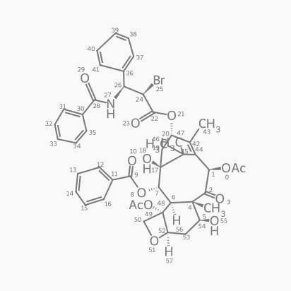 CC(=O)O[C@H]1C(=O)[C@@]2(C)[C@H]([C@H](OC(=O)c3ccccc3)[C@]3(O)C[C@H](OC(=O)[C@H](Br)[C@@H](NC(=O)c4ccccc4)c4ccccc4)C(C)=C1C3(C)C)[C@]1(OC(C)=O)CO[C@@H]1C[C@@H]2O